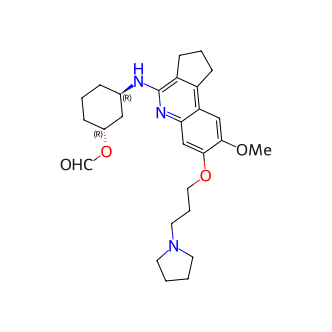 COc1cc2c3c(c(N[C@@H]4CCC[C@@H](OC=O)C4)nc2cc1OCCCN1CCCC1)CCC3